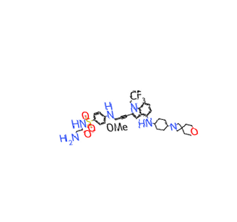 COc1cc(S(=O)(=O)NC(=O)CN)ccc1NCC#Cc1cc2c(NC3CCC(N4CC5(CCOCC5)C4)CC3)cccc2n1CC(F)(F)F